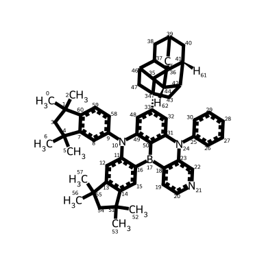 CC1(C)CC(C)(C)c2cc(N3c4cc5c(cc4B4c6ccncc6N(c6ccccc6)c6cc([C@]78CC9C%10CC%11C[C@@H]9C(C7)[C@@H](C%11)C%10C8)cc3c64)C(C)(C)CC5(C)C)ccc21